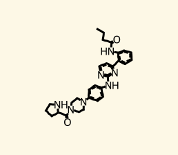 CCCC(=O)Nc1ccccc1-c1ccnc(Nc2ccc(N3CCN(C(=O)C4CCCN4)CC3)cc2)n1